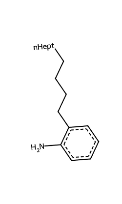 CCCCCCCCCCCc1ccccc1N